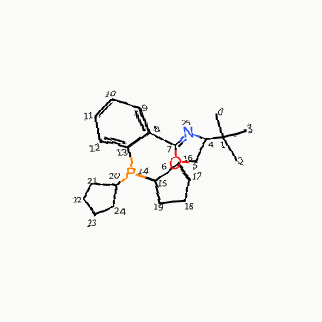 CC(C)(C)C1COC(c2ccccc2P(C2CCCC2)C2CCCC2)=N1